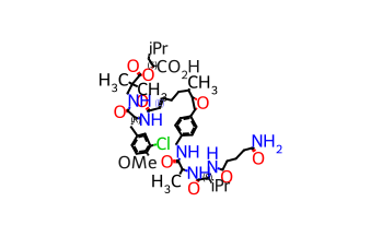 COc1ccc(C[C@@H](NC(=O)/C=C/CCC(C)C2OC2c2ccc(CNC(=O)C(C)NC(=O)[C@@H](NC(=O)CCCC(N)=O)C(C)C)cc2)C(=O)NCC(C)(C)C(=O)O[C@@H](CC(C)C)C(=O)O)cc1Cl